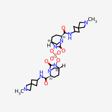 CN1CC2(CC(NC(=O)[C@@H]3CC[C@@H]4CN3C(=O)N4OS(=O)(=O)ON3C(=O)N4C[C@H]3CC[C@H]4C(=O)NC3CC4(C3)CN(C)C4)C2)C1